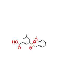 COc1ccccc1CS(=O)(=O)c1cc(C)cc(C(=O)O)c1